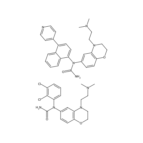 CN(C)CCN1CCOc2ccc(N(C(N)=O)c3ccc(-c4ccncc4)c4ccccc34)cc21.CN(C)CCN1CCOc2ccc(N(C(N)=O)c3cccc(Cl)c3Cl)cc21